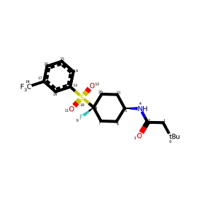 CC(C)(C)CC(=O)N[C@H]1CC[C@](F)(S(=O)(=O)c2cccc(C(F)(F)F)c2)CC1